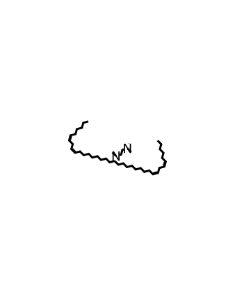 CCCCC/C=C\C/C=C\CCCCCCCCC(CCCCCCCC/C=C\C/C=C\CCCCC)N(C)CCN(C)C